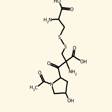 CC(=O)N1CC(O)CC1C(=O)C(N)(CSSCC(N)C(=O)O)C(=O)O